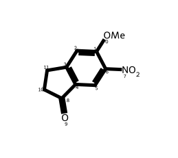 COc1cc2c(cc1[N+](=O)[O-])C(=O)CC2